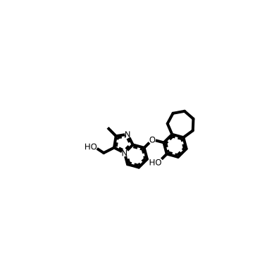 Cc1nc2c(Oc3c(O)ccc4c3CCCCC4)cccn2c1CO